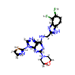 Fc1ccc2[nH]c(CNc3nc(N4CCOCC4)nc4c3ncn4-c3nccs3)nc2c1F